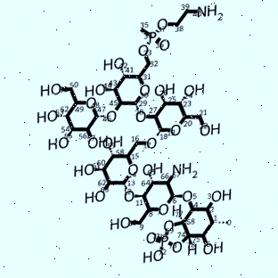 C[C@H]1C(O)C(O[C@H]2OC(CO)[C@@H](O[C@H]3OC(CO[C@H]4OC(CO)[C@@H](O)[C@H](O)C4O[C@H]4OC(COP(C)(=O)OCCN)[C@@H](O)[C@H](O)C4O[C@H]4OC(CO)[C@@H](O)[C@H](O)C4O)[C@@H](O)[C@H](O)C3O)[C@H](O)C2N)[C@@H]2OP(=O)(O)O[C@H]2C1O